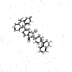 CC1(C)c2ccccc2N(c2ccc3c(c2)C(=O)N(c2ccc(-c4cccc5ccccc45)cc2)C3=O)c2ccccc21